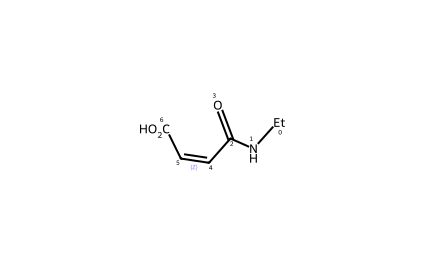 CCNC(=O)/C=C\C(=O)O